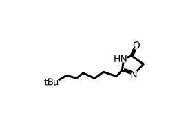 CC(C)(C)CCCCCCC1=NCC(=O)N1